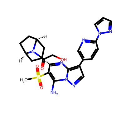 CS(=O)(=O)c1c([C@@H]2C[C@H]3CC[C@@H](C2)N3C(=O)CO)nc2c(-c3ccc(-n4cccn4)nc3)cnn2c1N